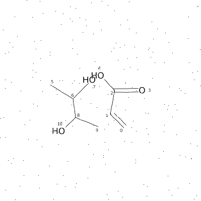 C=CC(=O)O.CC(O)C(C)O